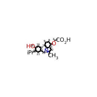 Cc1cc2c(OCC(=O)O)cccc2n1Cc1ccc(O)c(C(C)C)c1